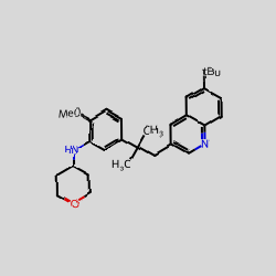 COc1ccc(C(C)(C)Cc2cnc3ccc(C(C)(C)C)cc3c2)cc1NC1CCOCC1